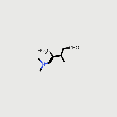 CC(CC=O)/C(=C/N(C)C)C(=O)O